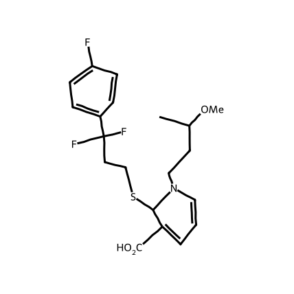 COC(C)CCN1C=CC=C(C(=O)O)C1SCCC(F)(F)c1ccc(F)cc1